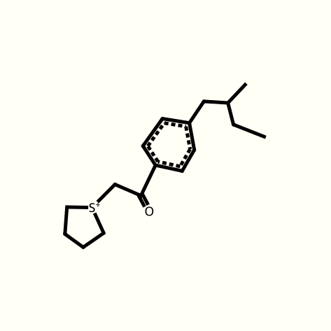 CCC(C)Cc1ccc(C(=O)C[S+]2CCCC2)cc1